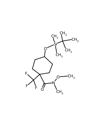 CON(C)C(=O)C1(C(F)(F)F)CCC(O[Si](C)(C)C(C)(C)C)CC1